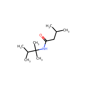 CC(C)CC(=O)NC(C)(C)C(C)C